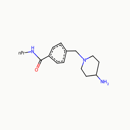 CCCNC(=O)c1ccc(CN2CCC(N)CC2)cc1